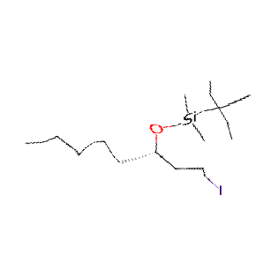 CCCCC[C@@H](CCI)O[Si](C)(C)C(C)(C)C